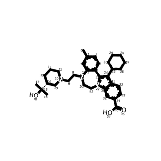 Cc1ccc2c(c1)N(CCN1CCC[C@@H](C(C)(C)O)C1)CCn1c-2c(C2CCCCC2)c2ccc(C(=O)O)cc21